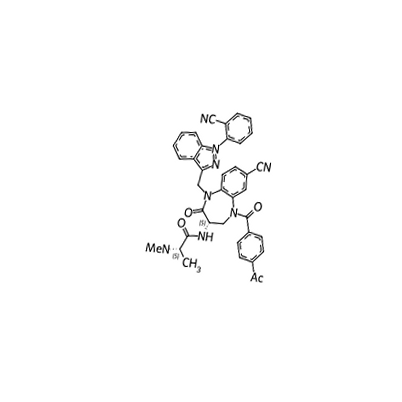 CN[C@@H](C)C(=O)N[C@H]1CN(C(=O)c2ccc(C(C)=O)cc2)c2cc(C#N)ccc2N(Cc2nn(-c3ccccc3C#N)c3ccccc23)C1=O